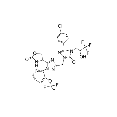 O=C1NC(c2nc(Cn3nc(-c4ccc(Cl)cc4)n(CC(O)C(F)(F)F)c3=O)nn2-c2ncccc2OC(F)(F)F)CO1